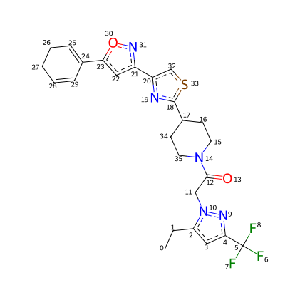 CCc1cc(C(F)(F)F)nn1CC(=O)N1CCC(c2nc(-c3cc(C4=CCCC=C4)on3)cs2)CC1